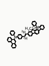 [2H]/C(=C(/[2H])c1ccc2c(c1)C(C)(C)c1c-2ccc2c3ccccc3n(-c3ccccc3)c12)c1ccc(N(c2ccccc2)c2cc3ccccc3c3ccccc23)cc1